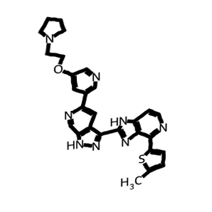 Cc1ccc(-c2nccc3[nH]c(-c4n[nH]c5cnc(-c6cncc(OCCN7CCCC7)c6)cc45)nc23)s1